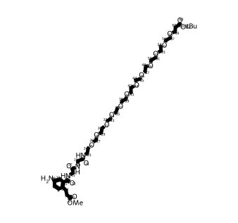 COC(=O)CCc1ccc(N)cc1C(=O)NCC(=O)NCC(=O)NCCOCCOCCOCCOCCOCCOCCOCCOCCOCCOCCOCCOCCC(=O)OC(C)(C)C